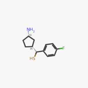 N[C@H]1CC[C@@H](C(S)c2ccc(F)cc2)C1